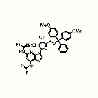 COc1ccc(C(OC[C@H]2O[C@@H](n3cnc4c(NC(=O)C(C)C)nc(NC(=O)C(C)C)nc43)[C@H](OC)[C@@H]2O)(c2ccccc2)c2ccc(OC)cc2)cc1